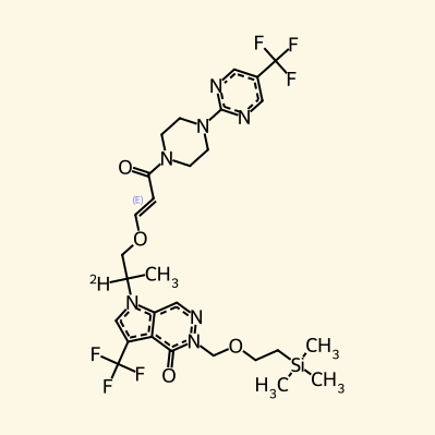 [2H]C(C)(CO/C=C/C(=O)N1CCN(c2ncc(C(F)(F)F)cn2)CC1)n1cc(C(F)(F)F)c2c(=O)n(COCC[Si](C)(C)C)ncc21